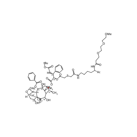 COCCOCCOCCC(=O)NC(CCCCNC(=O)CSCC(=O)O[C@@H](C(=O)O[C@H]1C[C@@]2(O)[C@@H](OC(=O)c3ccccc3)[C@@H]3[C@]4(OC(C)=O)CO[C@@H]4C[C@H](O)[C@@]3(C)C(=O)[C@H](O)C([C@@H]1C)C2(C)C)[C@@H](NC(=O)OC(C)(C)C)c1ccccc1)C(C)=O